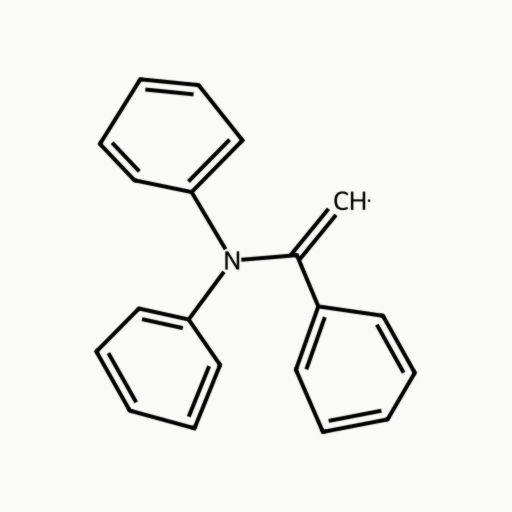 [CH]=C(c1ccccc1)N(c1ccccc1)c1ccccc1